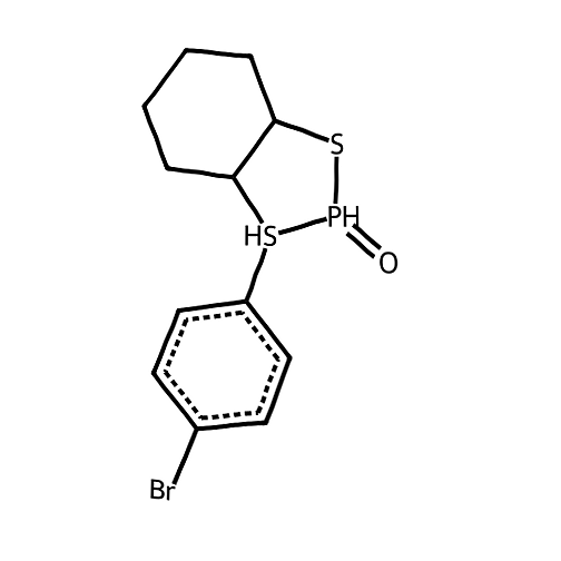 O=[PH]1SC2CCCCC2[SH]1c1ccc(Br)cc1